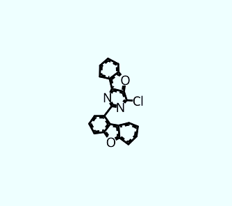 Clc1nc(-c2cccc3oc4ccccc4c23)nc2c1oc1ccccc12